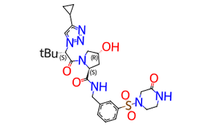 CC(C)(C)[C@@H](C(=O)N1C[C@H](O)C[C@H]1C(=O)NCc1cccc(S(=O)(=O)N2CCNC(=O)C2)c1)n1cc(C2CC2)nn1